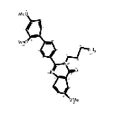 COc1ccc(-c2ccc(-c3nc4ccc(OC)cc4c(=O)n3CCCN)cc2)c(OC)c1